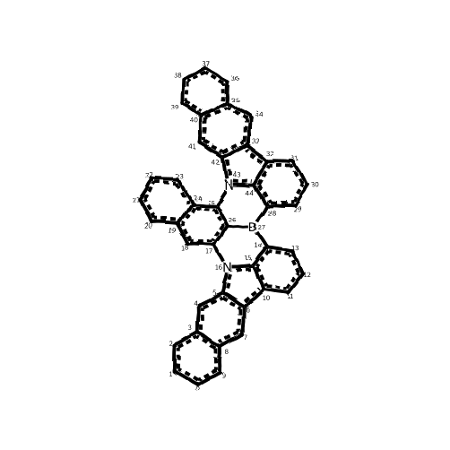 c1ccc2cc3c(cc2c1)c1cccc2c1n3-c1cc3ccccc3c3c1B2c1cccc2c4cc5ccccc5cc4n-3c12